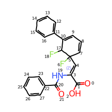 O=C(O)/C(=C/C1(F)C=CC=C(c2ccccc2)C1F)NC(=O)c1ccccc1